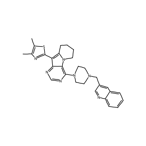 Cc1nc(-c2c3n(c4c(N5CCN(Cc6cnc7ccccc7c6)CC5)ncnc24)CCCC3)sc1C